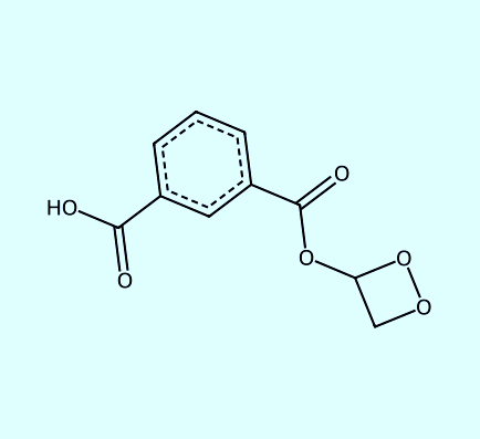 O=C(O)c1cccc(C(=O)OC2COO2)c1